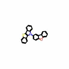 c1ccc2c(c1)oc1ccc(-n3c4ccccc4c4sc5ccccc5c43)cc12